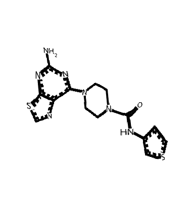 Nc1nc(N2CCN(C(=O)Nc3ccsc3)CC2)c2ncsc2n1